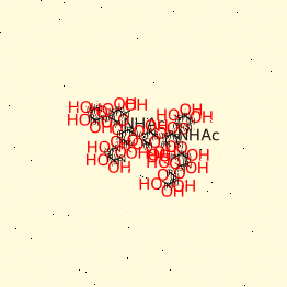 CC(=O)N[C@H]1[C@H](O[C@H]2[C@@H](O)[C@@H](CO)O[C@@H](O[C@H]3[C@H](O[C@@H]4O[C@@H](C)[C@@H](O)[C@@H](O)[C@@H]4O)[C@@H](NC(C)=O)[C@H](O[C@@H]4[C@H](O)[C@@H](O)[C@H](O[C@H]5[C@H](O)[C@@H](O)C(O)O[C@@H]5CO)O[C@@H]4CO)O[C@@H]3CO)[C@@H]2O)O[C@H](CO)[C@@H](O[C@@H]2O[C@@H](C)[C@@H](O)[C@@H](O)[C@@H]2O)[C@@H]1O[C@@H]1O[C@H](CO)[C@H](O)[C@H](O)[C@H]1O[C@@H]1O[C@@H](C)[C@@H](O)[C@@H](O)[C@@H]1O